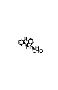 O=CNNc1cccc2nc3ccccc3nc12